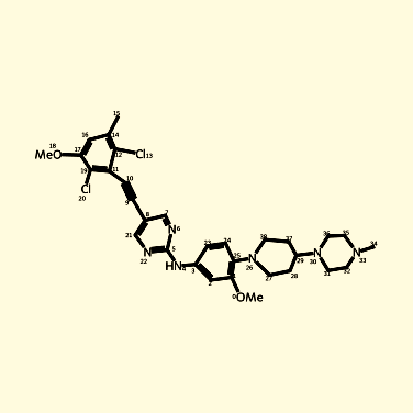 COc1cc(Nc2ncc(C#Cc3c(Cl)c(C)cc(OC)c3Cl)cn2)ccc1N1CCC(N2CCN(C)CC2)CC1